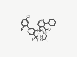 C[C@H](O)CNC(=O)c1c(Nc2cc(-c3cc(Cl)ccc3F)ncc2C(F)(F)F)ccnc1C1CCCCC1